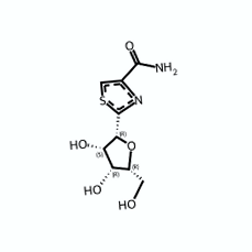 NC(=O)c1csc([C@@H]2O[C@H](CO)[C@H](O)[C@@H]2O)n1